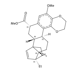 CC[C@@]12C=CC3(CC1)[C@@H]1C[C@H](C(=O)OC)c4cc(OC)c5c(c4[C@H]1CC[C@@]32C)OCCO5